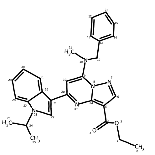 CCOC(=O)c1cnn2c(N(C)Cc3ccccc3)cc(-c3cn(C(C)C)c4ccccc34)nc12